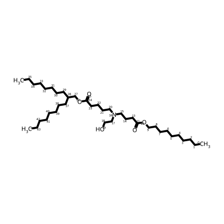 CCCCCCCCCCOC(=O)CCCN(CCO)CCCCC(=O)OCC(CCCCCCCC)CCCCCCCC